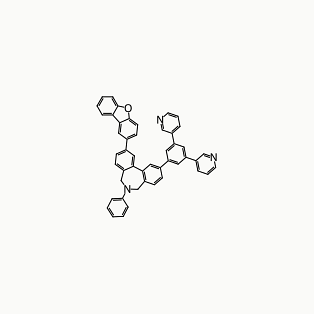 c1ccc(N2Cc3ccc(-c4cc(-c5cccnc5)cc(-c5cccnc5)c4)cc3-c3cc(-c4ccc5oc6ccccc6c5c4)ccc3C2)cc1